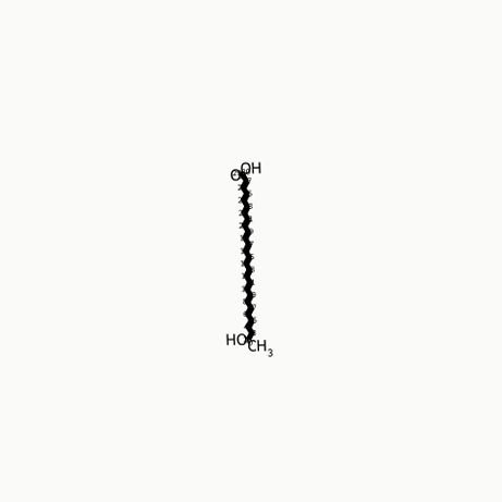 CC(O)CC=CC=CC=CC=CC=CC=CC=CC=CC=CC=CC=CC=CC(=O)O